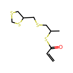 C=CC(=O)SC(C)CSCC1CSCS1